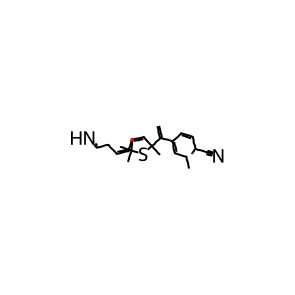 C=C(C(/C=C\C(C)C#N)=C/CC)C(C)(/C=C\C=C/CC=N)SC(C)(C)C